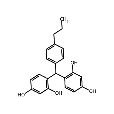 CCCc1ccc(C(c2ccc(O)cc2O)c2ccc(O)cc2O)cc1